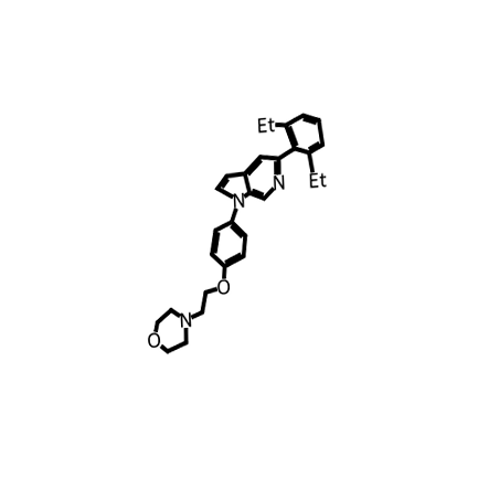 CCc1cccc(CC)c1-c1cc2ccn(-c3ccc(OCCN4CCOCC4)cc3)c2cn1